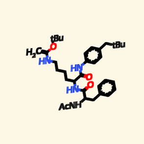 C=C(NCCCCC(NC(=O)C(Cc1ccccc1)NC(C)=O)C(=O)Nc1ccc(CC(C)(C)C)cc1)OC(C)(C)C